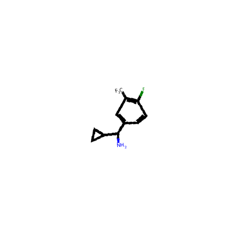 NC(c1ccc(F)c(C(F)(F)F)c1)C1CC1